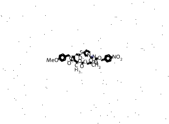 C=CCOC(=O)O[C@H](C)[C@H]1C(=O)N(Cc2ccc(OC)cc2)[C@@H]1CC(=O)S[C@H]1CCN(/C(C)=N/C(=O)OCc2ccc([N+](=O)[O-])cc2)C1